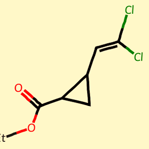 CCOC(=O)C1CC1C=C(Cl)Cl